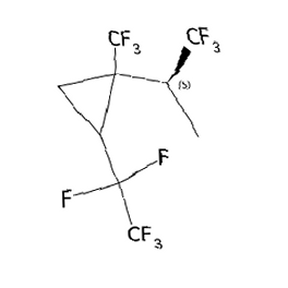 C[C@H](C(F)(F)F)C1(C(F)(F)F)CC1C(F)(F)C(F)(F)F